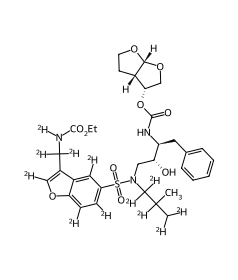 [2H]c1oc2c([2H])c([2H])c(S(=O)(=O)N(C[C@@H](O)[C@H](Cc3ccccc3)NC(=O)O[C@H]3CO[C@H]4OCC[C@H]43)C([2H])([2H])C([2H])(C)C([2H])[2H])c([2H])c2c1C([2H])([2H])N([2H])C(=O)OCC